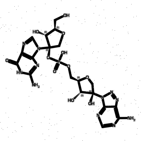 Nc1nc2c(ncn2[C@@]2(OP(=O)(O)OC[C@H]3OC[C@](O)(n4nnc5c(N)ncnc54)[C@@H]3O)CO[C@H](CO)[C@H]2O)c(=O)[nH]1